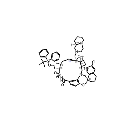 CO[C@]1(CN2CCN3CCCC[C@@H]3C2)/C=C/C[C@H](C)[C@@H](CCO[Si](c2ccccc2)(c2ccccc2)C(C)(C)C)S(=O)(=O)NC(=O)c2ccc3c(c2)N(C[C@@H]2CC[C@H]21)C[C@@]1(CCCc2cc(Cl)ccc21)CO3